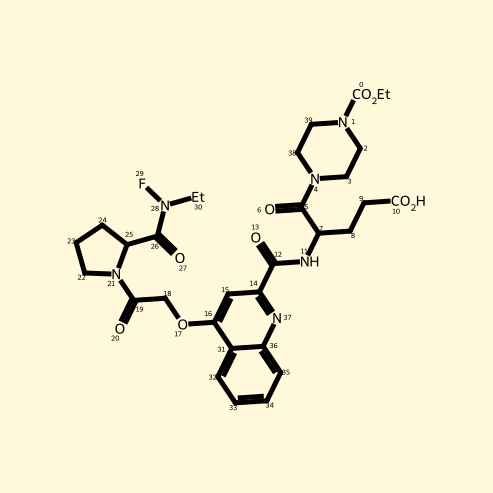 CCOC(=O)N1CCN(C(=O)C(CCC(=O)O)NC(=O)c2cc(OCC(=O)N3CCCC3C(=O)N(F)CC)c3ccccc3n2)CC1